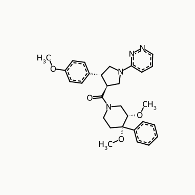 COc1ccc([C@@H]2CN(c3cccnn3)C[C@H]2C(=O)N2CC[C@](OC)(c3ccccc3)[C@@H](OC)C2)cc1